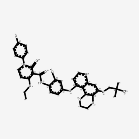 CCOc1ccn(-c2ccc(F)cc2)c(=O)c1C(=O)Nc1ccc(Oc2ccnc3cc(OCC(C)(C)O)c4c(c23)OCCO4)cc1Cl